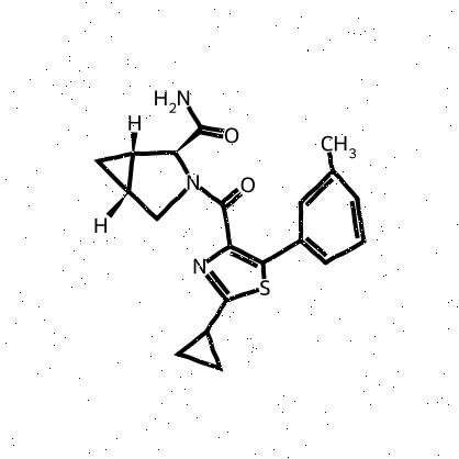 Cc1cccc(-c2sc(C3CC3)nc2C(=O)N2C[C@@H]3C[C@@H]3[C@H]2C(N)=O)c1